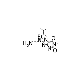 CCN(CCN)c1nc2c(c(=O)n(C)c(=O)n2C)n1CC=C(C)C